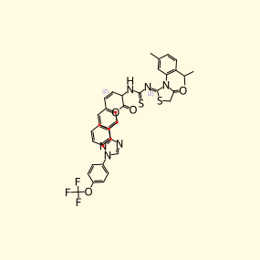 Cc1ccc(C(C)C)c(N2C(=O)CS/C2=N\C(=S)NC(/C=C\c2ccc(-c3ncn(-c4ccc(OC(F)(F)F)cc4)n3)cc2)C(=O)OCc2ccccc2)c1